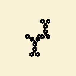 c1ccc(-c2ccc(N(c3ccc(-c4ccc(N(c5ccccc5)c5ccccc5)cc4)cc3)c3ccc4c(ccc5cc(N(c6ccccc6)c6ccc(-c7ccc(N(c8ccccc8)c8ccccc8)cc7)cc6)ccc54)c3)cc2)cc1